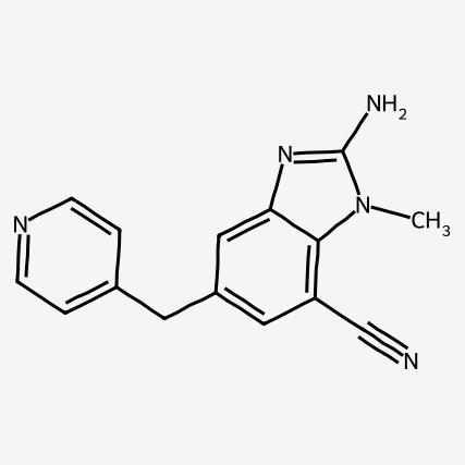 Cn1c(N)nc2cc(Cc3ccncc3)cc(C#N)c21